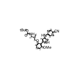 COc1cncc(OC[C@H](F)CNC(=O)OC(C)(C)C)c1-c1cc(Nc2cnc(C#N)cn2)n[nH]1